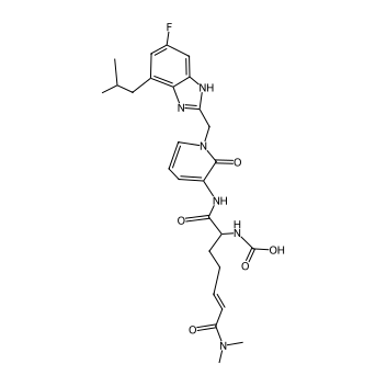 CC(C)Cc1cc(F)cc2[nH]c(Cn3cccc(NC(=O)C(CCC=CC(=O)N(C)C)NC(=O)O)c3=O)nc12